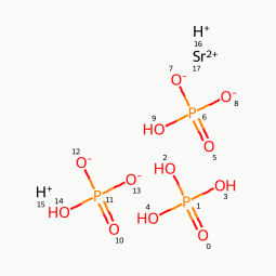 O=P(O)(O)O.O=P([O-])([O-])O.O=P([O-])([O-])O.[H+].[H+].[Sr+2]